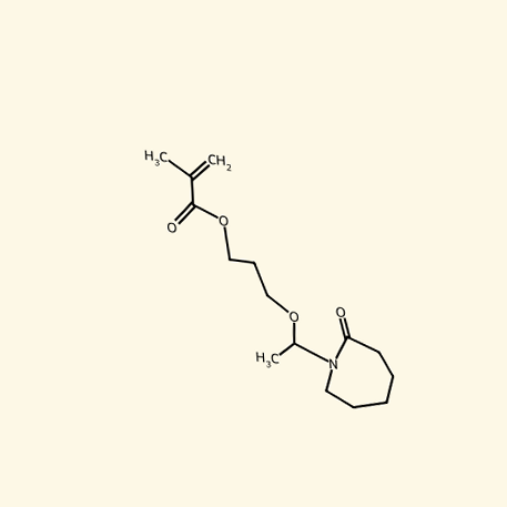 C=C(C)C(=O)OCCCOC(C)N1CCCCCC1=O